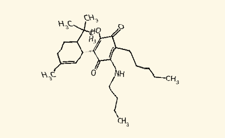 CCCCCC1=C(NCCCC)C(=O)C([C@@H]2C=C(C)CCC2C(C)(C)C)=C(O)C1=O